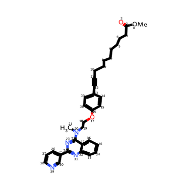 COC(=O)CCCCCCCCC#Cc1ccc(OCCN(C)c2nc(-c3cccnc3)nc3ccccc23)cc1